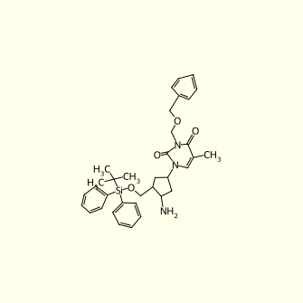 Cc1cn(C2CC(N)C(CO[Si](c3ccccc3)(c3ccccc3)C(C)(C)C)C2)c(=O)n(COCc2ccccc2)c1=O